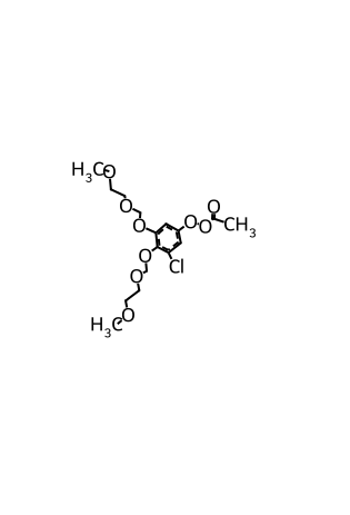 COCCOCOc1cc(OOC(C)=O)cc(Cl)c1OCOCCOC